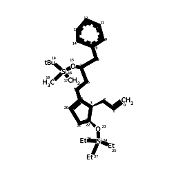 C=CC[C@@H]1C(CCC(Cc2ccccc2)O[Si](C)(C)C(C)(C)C)=CC[C@@H]1O[Si](CC)(CC)CC